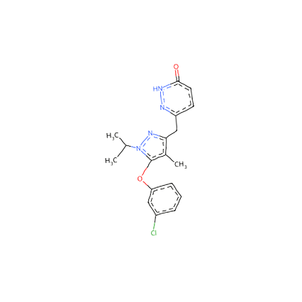 Cc1c(Cc2ccc(=O)[nH]n2)nn(C(C)C)c1Oc1cccc(Cl)c1